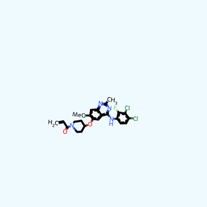 C=CC(=O)N1CCC(Oc2cc3c(Nc4ccc(Cl)c(Cl)c4F)nc(C)nc3cc2OC)CC1